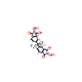 O=C1c2ccc(C(c3ccc4c(c3)C(=O)N(O)C4=O)(C(F)(F)F)C(F)(F)F)cc2C(=O)N1O